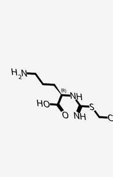 CCSC(=N)N[C@H](CCCN)C(=O)O